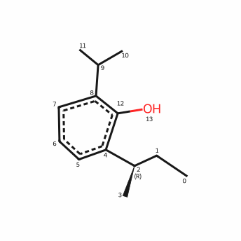 CC[C@@H](C)c1cccc(C(C)C)c1O